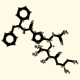 CC[C@H](C)CC(=O)N(C)[C@H](C[C@@H](OC(C)=O)c1nc(C(=O)NC(Cc2ccccc2)c2ccccc2)cs1)C(C)C